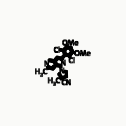 COc1cc(OC)c(Cl)c(-c2cc3cnc(C)cc3c(N3CCC(C)(C#N)C3)n2)c1Cl